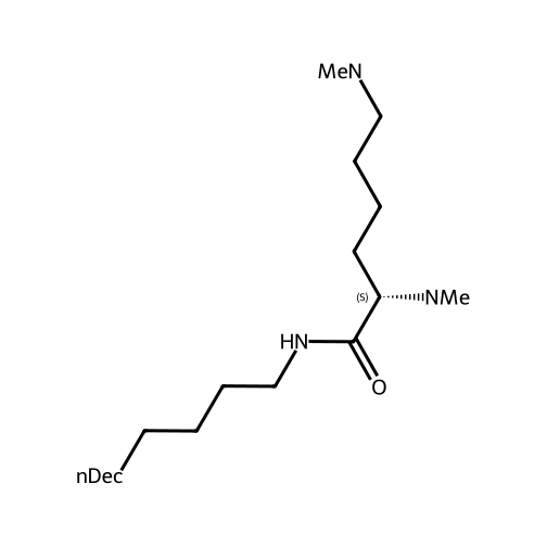 CCCCCCCCCCCCCCNC(=O)[C@H](CCCCNC)NC